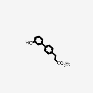 CCOC(=O)CCc1ccc(-c2cccc(O)c2)cc1